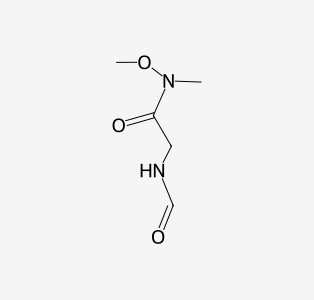 CON(C)C(=O)CNC=O